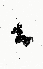 COCCCC[C@@](O)(c1cccc(F)c1-c1cccc(Cl)c1)C1CN(C(=O)[C@H]2C[C@@H](N)[C@@H](O)C2)CCO1